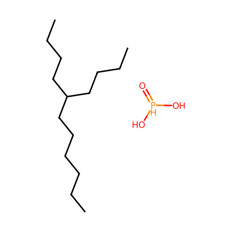 CCCCCCC(CCCC)CCCC.O=[PH](O)O